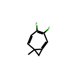 CC12C=CC(F)=C(F)C=C1C2